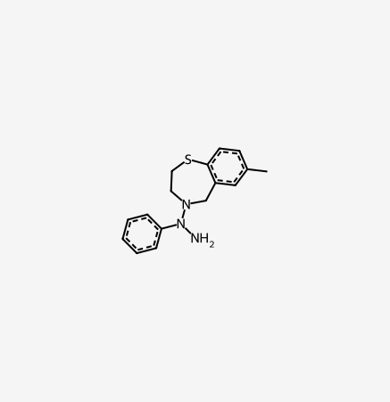 Cc1ccc2c(c1)CN(N(N)c1ccccc1)CCS2